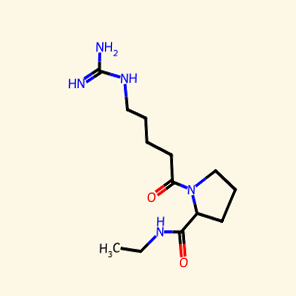 CCNC(=O)C1CCCN1C(=O)CCCCNC(=N)N